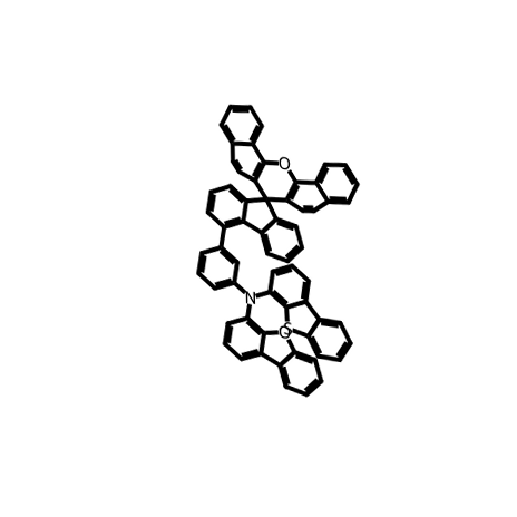 c1cc(-c2cccc3c2-c2ccccc2C32c3ccc4ccccc4c3Oc3c2ccc2ccccc32)cc(N(c2cccc3c2oc2ccccc23)c2cccc3c2sc2ccccc23)c1